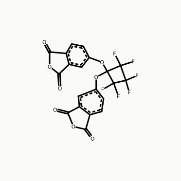 O=C1OC(=O)c2cc(OC3(Oc4ccc5c(c4)C(=O)OC5=O)C(F)(F)C(F)(F)C3(F)F)ccc21